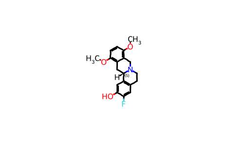 COc1ccc(OC)c2c1C[C@H]1c3cc(O)c(F)cc3CCN1C2